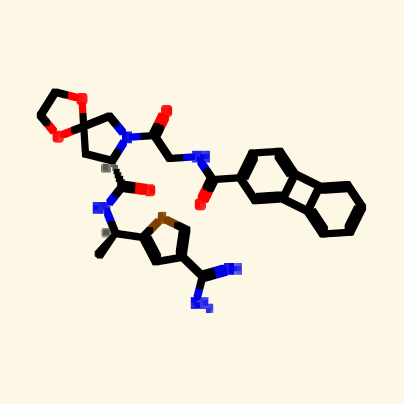 C[C@@H](NC(=O)[C@@H]1CC2(CN1C(=O)CNC(=O)c1ccc3c(c1)-c1ccccc1-3)OCCO2)c1cc(C(=N)N)cs1